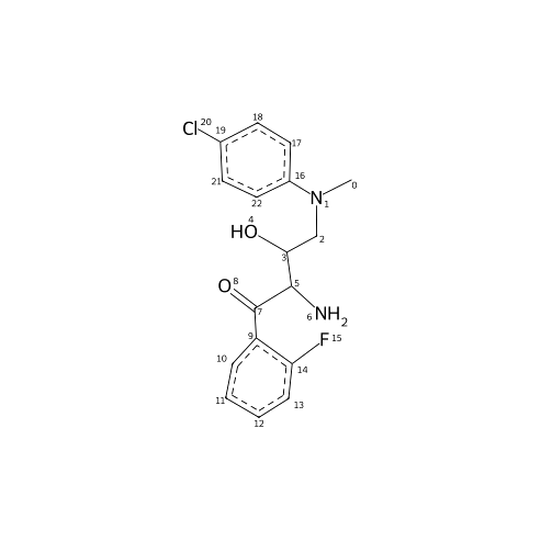 CN(CC(O)C(N)C(=O)c1ccccc1F)c1ccc(Cl)cc1